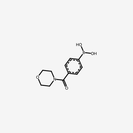 O=C(c1ccc(B(O)O)cc1)N1CCOCC1